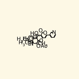 CCC1(C)[C@@H](C)CC[C@]2(C)[C@H]3[C@@H](O)c4c(cc(-c5cccnc5)oc4=O)O[C@]3(C)[C@@H](OC(C)=O)C[C@@H]12